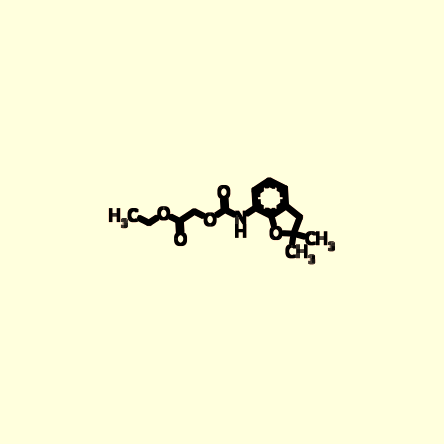 CCOC(=O)COC(=O)Nc1cccc2c1OC(C)(C)C2